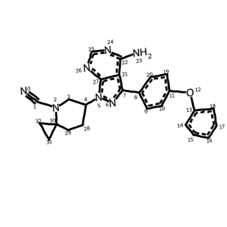 N#CN1CC(n2nc(-c3ccc(Oc4ccccc4)cc3)c3c(N)ncnc32)CCC12CC2